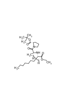 CCCCCCCC(S)(S)[C@H](NC(C)C(=O)N1CCC[C@H]1C(=O)OC(C)(C)C)C(=O)OCC